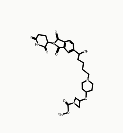 CC(C)(C)OC(=O)N1CC(OC2CCN(CCCCC(O)c3ccc4c(c3)C(=O)N(C3CCC(=O)NC3=O)C4=O)CC2)C1